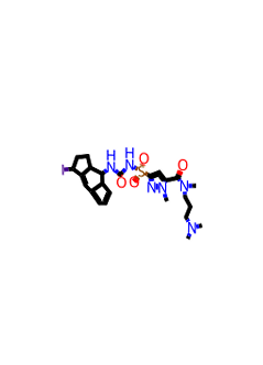 CN(C)CCCN(C)C(=O)c1cc(S(=O)(=O)NC(=O)NC2C3C=CC=C3C=C3C(I)CCC32)nn1C